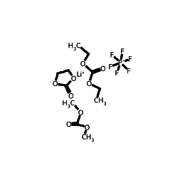 CCOC(=O)OCC.COC(=O)OC.F[P-](F)(F)(F)(F)F.O=C1OCCO1.[Li+]